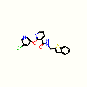 O=C(NCc1cc2ccccc2s1)c1cccnc1Oc1cncc(Cl)c1